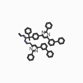 C=C/C=C(\C=C/Cc1cc(-c2cccc(-c3ccccc3)c2)nc(-c2ccccc2)n1)C(C)(c1ccccc1)c1ccc(-c2cc(-c3cccc(-c4ccccc4)c3)nc(-c3ccccc3)n2)cc1